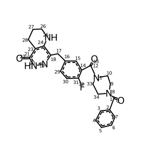 O=C(c1ccccc1)N1CCN(C(=O)c2cc(Cc3n[nH]c(=O)c4c3NCCC4)ccc2F)CC1